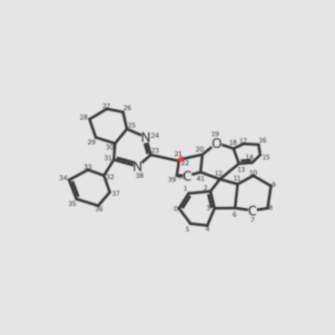 C1=CC2=C(CC1)C1CCCCC1C21C2=CCCCC2OC2CC(C3=NC4CCCCC4C(C4CC=CCC4)=N3)CCC21